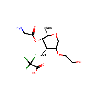 CCCCCCCCC[C@@H]1OC[C@@H](OCCO)[C@H](OC)[C@@H]1OC(=O)CN.O=C(O)C(F)(F)F